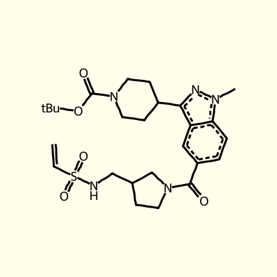 C=CS(=O)(=O)NCC1CCN(C(=O)c2ccc3c(c2)c(C2CCN(C(=O)OC(C)(C)C)CC2)nn3C)C1